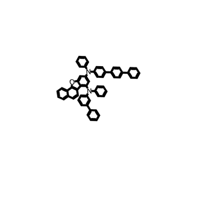 c1ccc(-c2ccc(-c3ccc(N(c4ccccc4)c4cc(N(c5ccccc5)c5cccc(-c6ccccc6)c5)c5c(c4)oc4c6ccccc6ccc45)cc3)cc2)cc1